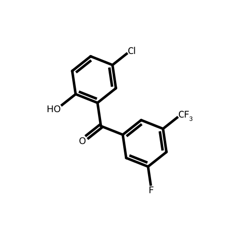 O=C(c1cc(F)cc(C(F)(F)F)c1)c1cc(Cl)ccc1O